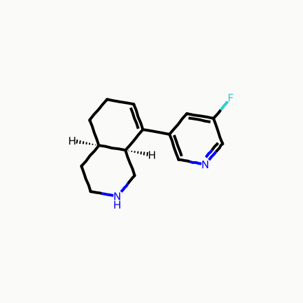 Fc1cncc(C2=CCC[C@@H]3CCNC[C@H]23)c1